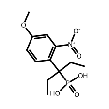 CCC(CC)(c1ccc(OC)cc1[N+](=O)[O-])P(=O)(O)O